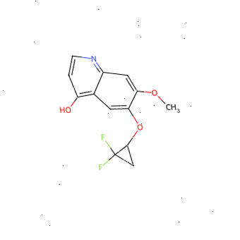 COc1cc2nccc(O)c2cc1OC1CC1(F)F